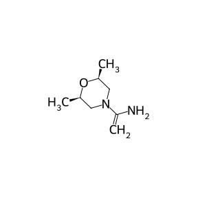 C=C(N)N1C[C@@H](C)O[C@@H](C)C1